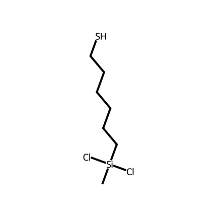 C[Si](Cl)(Cl)CCCCCCS